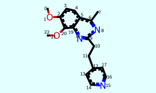 COc1ccc2c(C)nc(CCc3ccncc3)nc2c1OC